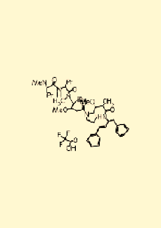 CC[C@H](C)[C@@H]([C@@H](CC(=O)N1CCC[C@H]1[C@H](OC)[C@@H](C)C(=O)N[C@H](/C=C/c1ccccc1)Cc1ccccc1)OC)N(C)C(=O)[C@@H](NC(=O)[C@@H](NC)C(C)C)C(C)C.O=C(O)C(F)(F)F